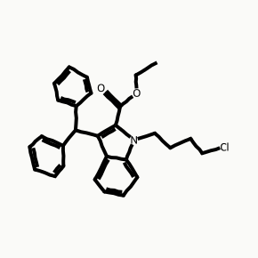 CCOC(=O)c1c(C(c2ccccc2)c2ccccc2)c2ccccc2n1CCCCCl